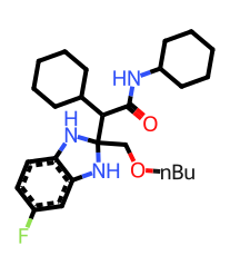 CCCCOCC1(C(C(=O)NC2CCCCC2)C2CCCCC2)Nc2ccc(F)cc2N1